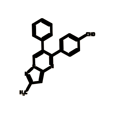 Cc1cc2nc(-c3ccc(C=O)cc3)c(-c3ccccc3)cn2n1